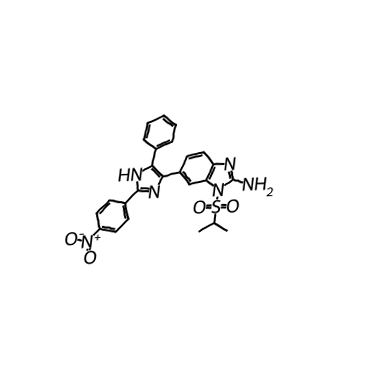 CC(C)S(=O)(=O)n1c(N)nc2ccc(-c3nc(-c4ccc([N+](=O)[O-])cc4)[nH]c3-c3ccccc3)cc21